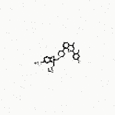 CC1=CC(c2ccc(Cl)cc2F)Oc2c1cccc2C1CCN(Cc2nc3ccc(C(=O)O)cc3n2C[C@@H]2CCO2)CC1